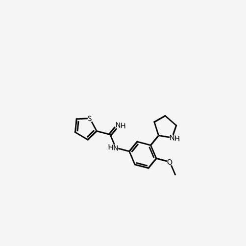 COc1ccc(NC(=N)c2cccs2)cc1C1CCCN1